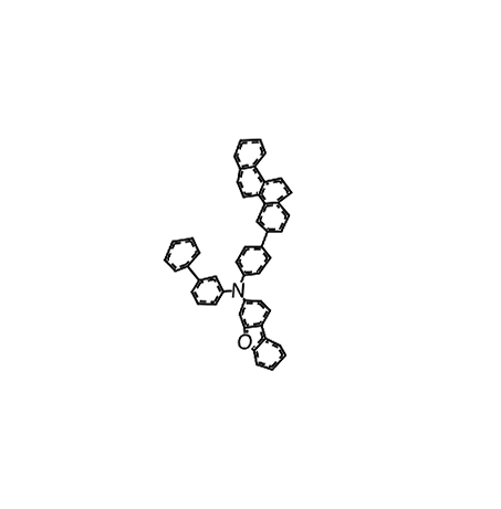 c1ccc(-c2cccc(N(c3ccc(-c4ccc5ccc6c7ccccc7ccc6c5c4)cc3)c3ccc4c(c3)oc3ccccc34)c2)cc1